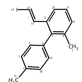 Cc1ccc(-c2c(C)cccc2/C=C/I)cc1